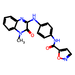 Cn1c(=O)c(Nc2ccc(NC(=O)c3ccno3)cc2)nc2ccccc21